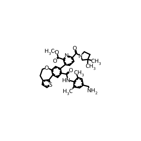 COC(=O)c1nc(C(=O)N2CCC(C)(C)C2)ccc1-c1cc2c(cc1C(=O)Nc1c(C)cc(CN)cc1C)-c1sccc1CCO2